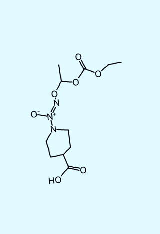 CCOC(=O)OC(C)O/N=[N+](\[O-])N1CCC(C(=O)O)CC1